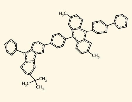 Cc1ccc2c(-c3ccc(-c4ccc5c(c4)c4cc(C(C)(C)C)ccc4n5-c4ccccc4)cc3)c3cc(C)ccc3c(-c3ccc(-c4ccccc4)cc3)c2c1